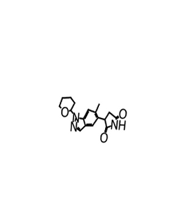 Cc1cc2c(cnn2C2CCCCO2)cc1C1CC(=O)NC1=O